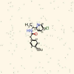 C[C@@H](NC(=O)Cc1ccc(C(C)(C)C)cc1)c1ccc(Cl)cn1